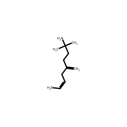 C=C(C/C=C\N)CCC(C)(C)N